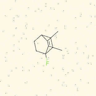 CC1=C(C)C2(F)CCC1CC2